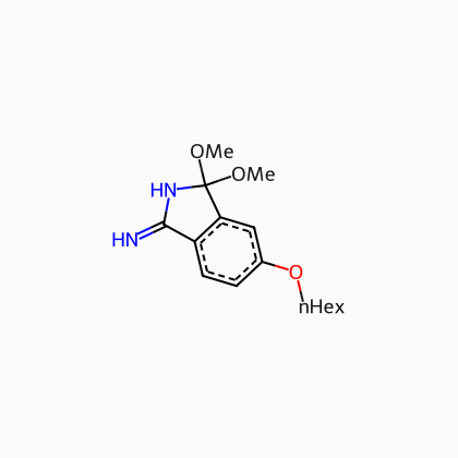 CCCCCCOc1ccc2c(c1)C(OC)(OC)NC2=N